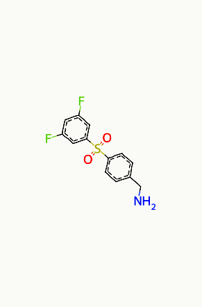 NCc1ccc(S(=O)(=O)c2cc(F)cc(F)c2)cc1